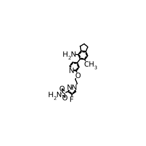 Cc1cc2c(c(N)c1-c1ccnc(OCCn3cc(F)c(S(N)(=O)=O)n3)c1)CCC2